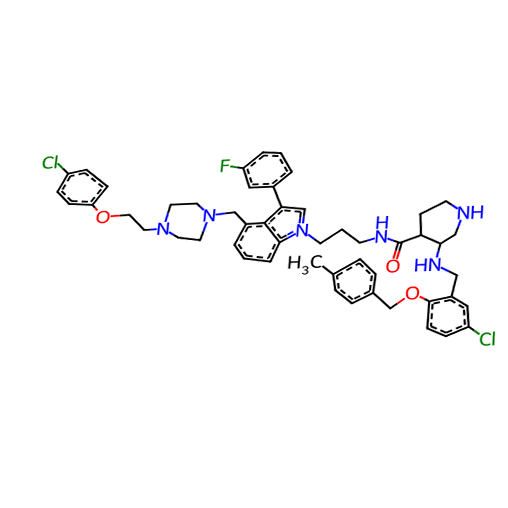 Cc1ccc(COc2ccc(Cl)cc2CNC2CNCCC2C(=O)NCCCn2cc(-c3cccc(F)c3)c3c(CN4CCN(CCOc5ccc(Cl)cc5)CC4)cccc32)cc1